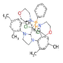 Cc1cc(C)c(N2CCN(c3c(C)cc(C)cc3C)C2C(Cl)(Cl)[PH](c2ccccc2)(N2CCOCC2)N2CCOCC2)c(C)c1